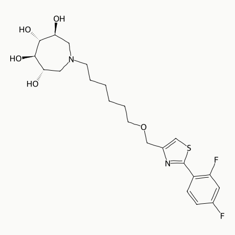 O[C@H]1[C@H](O)[C@@H](O)CN(CCCCCCOCc2csc(-c3ccc(F)cc3F)n2)C[C@@H]1O